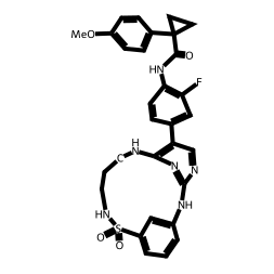 COc1ccc(C2(C(=O)Nc3ccc(-c4cnc5nc4NCCCNS(=O)(=O)c4cccc(c4)N5)cc3F)CC2)cc1